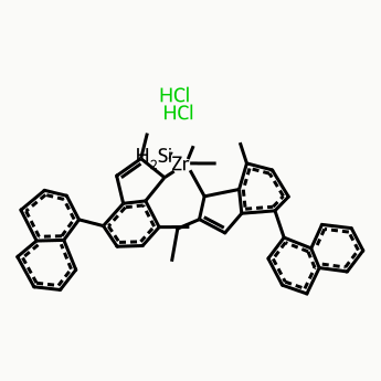 CCC1=Cc2c(-c3cccc4ccccc34)ccc(C)c2[CH]1[Zr]([CH3])([CH3])(=[SiH2])[CH]1C(C)=Cc2c(-c3cccc4ccccc34)ccc(C)c21.Cl.Cl